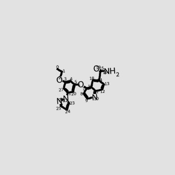 CCOc1cc(Oc2ccnc3ccc(C(N)=O)cc23)cc(-n2cccn2)c1